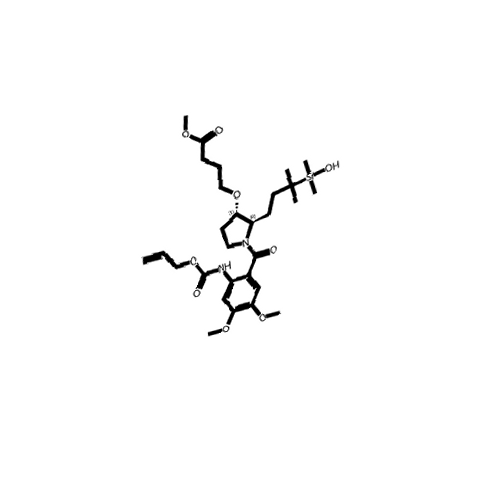 C=CCOC(=O)Nc1cc(OC)c(OC)cc1C(=O)N1CC[C@H](OCCCC(=O)OC)[C@H]1CCC(C)(C)[Si](C)(C)O